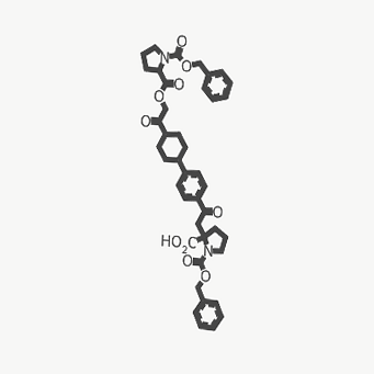 O=C(CC1(C(=O)O)CCCN1C(=O)OCc1ccccc1)c1ccc(C2CCC(C(=O)COC(=O)C3CCCN3C(=O)OCc3ccccc3)CC2)cc1